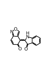 O=C1C=Cc2nocc2/C1=C1\Nc2ccccc2C1=O